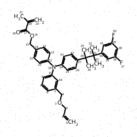 C=CCOCc1cccc(N(c2ccc(COC(=O)C(=C)C)cc2)c2ccc(C(C)(C)C(C)(C)c3cc(F)cc(F)c3)cc2)c1